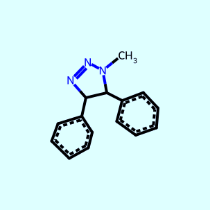 CN1N=NC(c2ccccc2)C1c1ccccc1